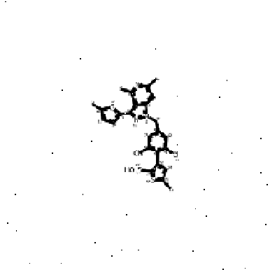 Cc1cc2c(c(C)n1)c(-c1ccc(C)s1)nn2Cc1cc(Cl)c(-c2cc(C)sc2S(=O)(=O)O)c(Cl)c1